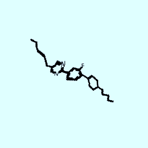 CCCCCc1cnc(-c2ccc(C3CCC(CCCCC)CC3)c(F)c2)nc1